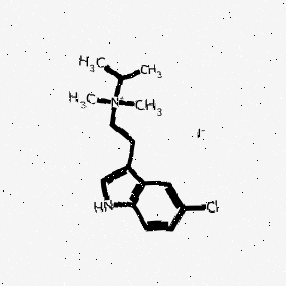 CC(C)[N+](C)(C)CCc1c[nH]c2ccc(Cl)cc12.[I-]